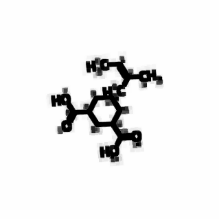 CC=C(C)C.O=C(O)C1CCCC(C(=O)O)C1